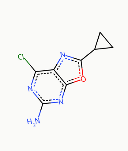 Nc1nc(Cl)c2nc(C3CC3)oc2n1